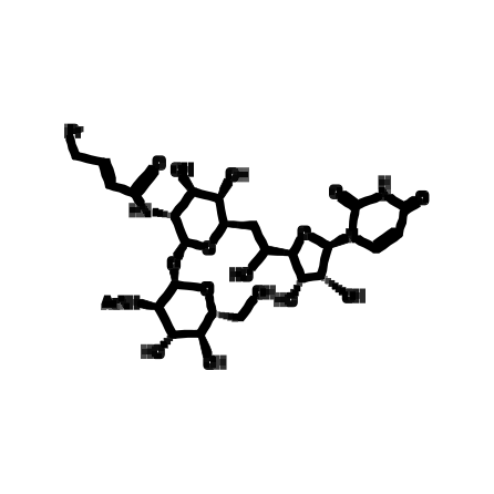 CC(=O)N[C@H]1[C@@H](O[C@@H]2O[C@H](CC(O)[C@H]3O[C@@H](n4ccc(=O)[nH]c4=O)[C@H](O)[C@@H]3O)[C@H](O)[C@H](O)[C@H]2NC(=O)/C=C/CC(C)C)O[C@H](CO)[C@@H](O)[C@@H]1O